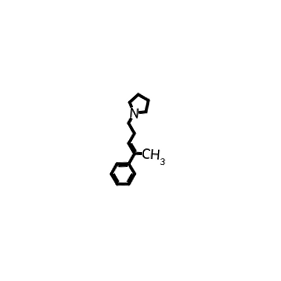 CC(=CCCN1CCCC1)c1ccccc1